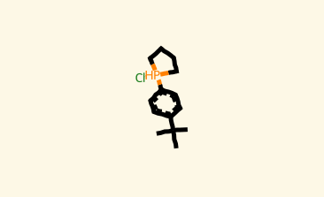 CC(C)(C)c1ccc([PH]2(Cl)CCCC2)cc1